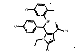 CCn1c(Br)cc(C(=O)O)c1C(Nc1cc(Cl)ccc1C)c1ccc(Cl)cc1